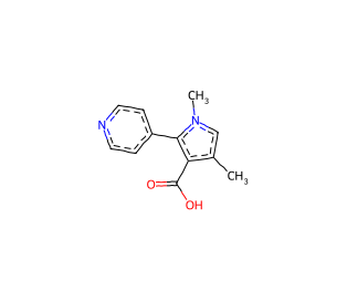 Cc1cn(C)c(-c2ccncc2)c1C(=O)O